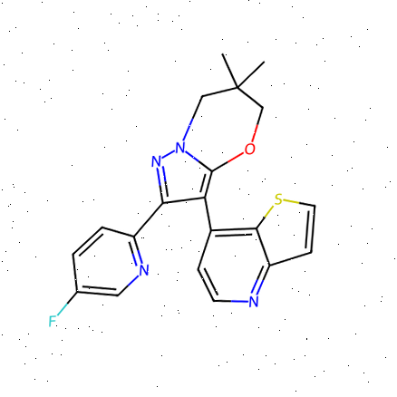 CC1(C)COc2c(-c3ccnc4ccsc34)c(-c3ccc(F)cn3)nn2C1